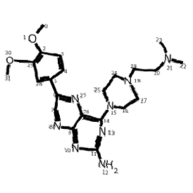 COc1ccc(-c2cnc3nc(N)nc(N4CCN(CCN(C)C)CC4)c3n2)cc1OC